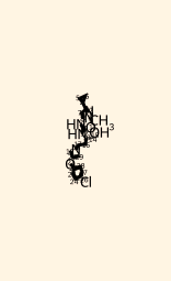 Cn1nc(C2CC2)cc1NC(=O)N[C@H](CO)CCN1CC(Oc2ccc(Cl)cc2)C1